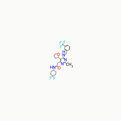 Cc1nc(CC(=O)NC2CCC(F)(F)CC2)c(C2CCCO2)c(NCc2cccc(C(F)(F)F)c2)n1